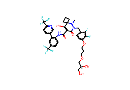 CN1N(Cc2ccc(OCCCOC[C@@H](O)CO)c(F)c2F)C(=O)C(C(=O)Nc2ccc(C(F)(F)F)cc2-c2ccc(C(F)(F)F)nc2)=C(O)C12CCC2